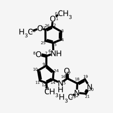 COc1ccc(NC(=O)c2ccc(C)c(NC(=O)c3cncn3C)c2)cc1OC